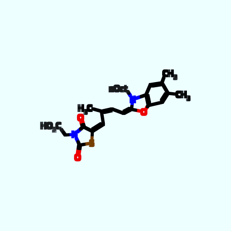 CCCCCCCCN1C(=CC=C(C)C=C2SC(=O)N(CC(=O)O)C2=O)Oc2cc(C)c(C)cc21